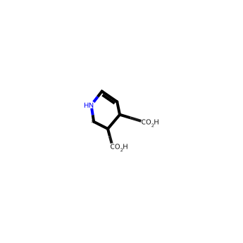 O=C(O)C1[C]NC=CC1C(=O)O